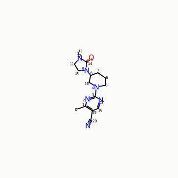 Cc1nc(N2CCCC(N3CCN(C)C3=O)C2)ncc1C#N